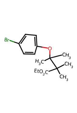 CCOC(=O)C(C)(C)C(C)(C)Oc1ccc(Br)cc1